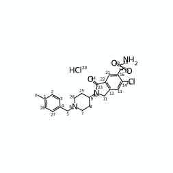 Cc1ccc(CN2CCC(N3Cc4cc(Cl)c(S(N)(=O)=O)cc4C3=O)CC2)cc1.Cl